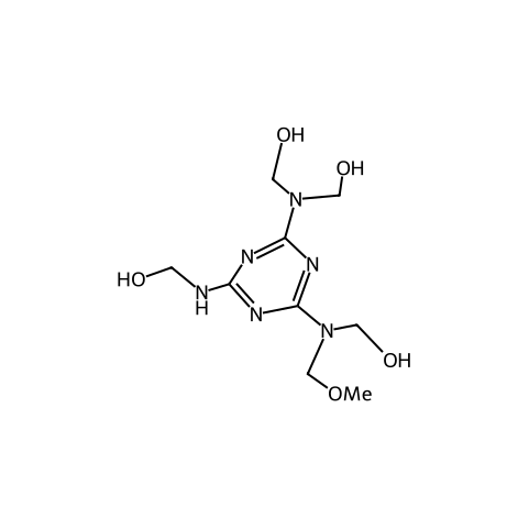 COCN(CO)c1nc(NCO)nc(N(CO)CO)n1